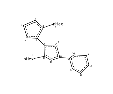 CCCCCCc1ccsc1-c1sc(-c2ccccc2)cc1CCCCCC